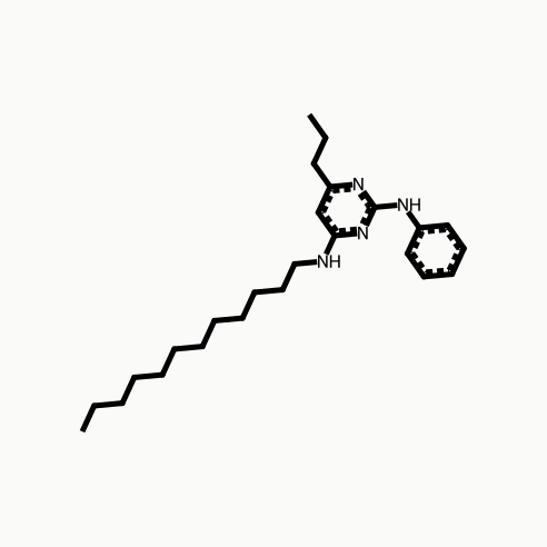 CCCCCCCCCCCCNc1cc(CCC)nc(Nc2ccccc2)n1